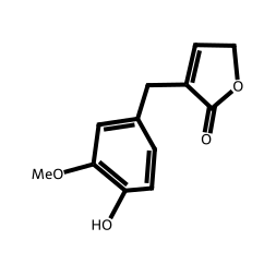 COc1cc(CC2=CCOC2=O)ccc1O